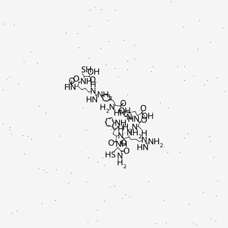 CC(=O)NC(CCCNC(=N)N)C(=O)NC(CS)C(=O)O.CC(N)C(=O)NC(Cc1c[nH]cn1)C(=O)O.N=C(N)NCCCC(N)C(=O)NC(Cc1c[nH]c2ccccc12)C(=O)NC(CS)C(N)=O.NC(Cc1ccccc1)C(=O)O